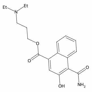 CCN(CC)CCCOC(=O)c1cc(O)c(C(N)=O)c2ccccc12